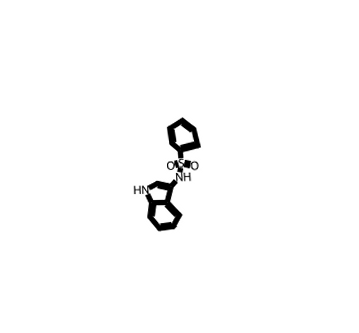 O=S(=O)(Nc1c[nH]c2cc[c]cc12)c1ccccc1